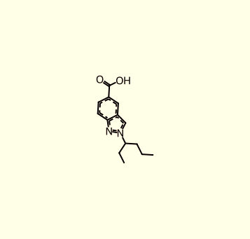 CCCC(CC)n1cc2cc(C(=O)O)ccc2n1